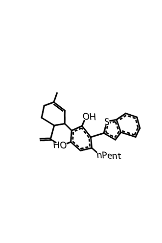 C=C(C)C1CCC(C)=CC1c1c(O)cc(CCCCC)c(-c2cc3ccccc3s2)c1O